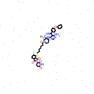 CC1CN(C(=O)CCCCCCSc2c(F)ccc3c2C(=O)N(C2CCC(=O)NC2=O)C3=O)CCC[C@H]1Nc1ncnc(N)c1C(=N)c1ccc(Oc2ccccc2)cc1